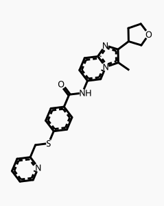 Cc1c(C2CCOC2)nc2ccc(NC(=O)c3ccc(SCc4ccccn4)cc3)cn12